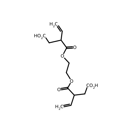 C=CC(CC(=O)O)C(=O)OCCOC(=O)C(C=C)CC(=O)O